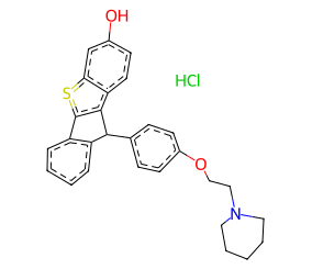 Cl.Oc1ccc2c3c(sc2c1)-c1ccccc1C3c1ccc(OCCN2CCCCC2)cc1